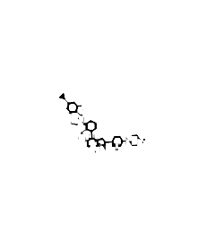 CN1CCN(c2ccc(-c3cc4c(-c5cccc(N6CCOc7cc(C8CC8)cc(F)c7C6=O)c5CO)ccnc4[nH]3)nc2)CC1